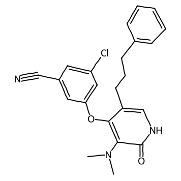 CN(C)c1c(Oc2cc(Cl)cc(C#N)c2)c(CCCc2ccccc2)c[nH]c1=O